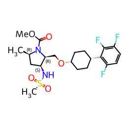 COC(=O)N1[C@H](C)C[C@H](NS(C)(=O)=O)[C@@H]1CO[C@H]1CC[C@@H](c2c(F)ccc(F)c2F)CC1